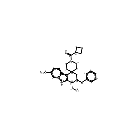 COc1ccc2c3c([nH]c2c1)[C@@H](CO)N(Cc1ccccc1)CC31CCN(C(=O)C2CCC2)CC1